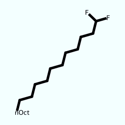 CCCCCCCCCCCCCCCCCCC(F)F